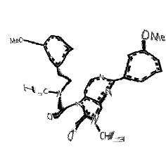 COc1cccc(CN(C)C(=O)n2c(=O)n(C)c3nc(-c4cccc(OC)c4)ncc32)c1